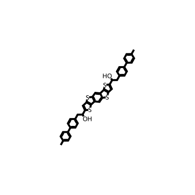 Cc1ccc(-c2ccc(CC(O)c3cc4sc5cc6c(cc5c4s3)sc3cc(C(O)Cc4ccc(-c5ccc(C)cc5)cc4)sc36)cc2)cc1